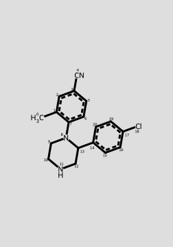 Cc1cc(C#N)ccc1N1CCNCC1c1ccc(Cl)cc1